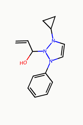 C=CC(O)N1N(c2ccccc2)C=CN1C1CC1